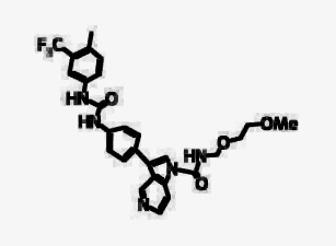 COCCOCNC(=O)n1cc(-c2ccc(NC(=O)Nc3ccc(C)c(C(F)(F)F)c3)cc2)c2cnccc21